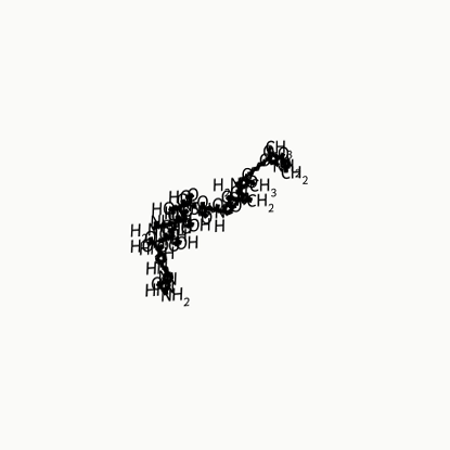 C=C1CCN(C(=O)c2cc(OC)c(OCCCCCOc3cc(N)c(C(=O)N4CC(=C)C[C@H]4C4OC(=O)c5cc(NC(=O)CCN6C(=O)CC(SC[C@H](NC(=O)[C@H](CC(=O)O)NC(=O)[C@H](CC(=O)O)NC(=O)[C@H](CCCNC(=N)N)NC(=O)[C@H](CC(=O)O)NC(=O)CC[C@H](NC(=O)c7ccc(NCc8cnc9nc(N)[nH]c(=O)c9n8)cc7)C(=O)O)C(=O)O)C6=O)ccc5O4)cc3OC)cc2N)C1